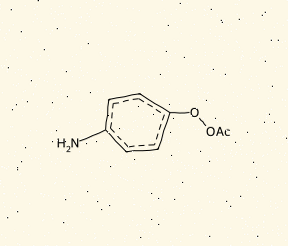 CC(=O)OOc1ccc(N)cc1